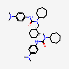 CN(C)c1ccc(NC(=O)N(C[C@@H]2CCCC[C@H]2CN(C(=O)Nc2ccc(N(C)C)cc2)C2CCCCCC2)C2CCCCCC2)cc1